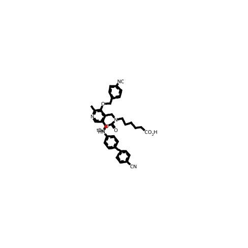 [C-]#[N+]c1ccc(COc2c(C)ncc(CNc3ccc(-c4ccc(C#N)cc4)cc3)c2CN(CCCCCC(=O)O)C(=O)OC(C)(C)C)cc1